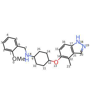 COc1ccccc1CNC1CCC(Oc2ccc3[nH]ncc3c2C)CC1